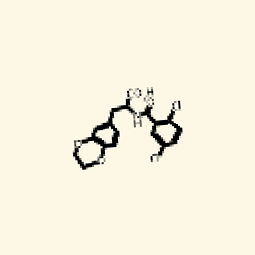 O=C(NC(Cc1ccc2c(c1)OCCO2)C(=O)O)c1cc(Cl)ccc1Cl